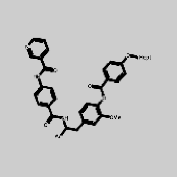 CCCCCCCOc1ccc(C(=O)Oc2ccc(CC(NC(=O)c3ccc(NC(=O)c4cccnc4)cc3)C(C)=O)cc2OC)cc1